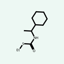 CCSC(=O)NC(C)C1CCCCC1